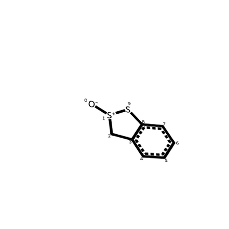 [O-][S+]1Cc2ccccc2S1